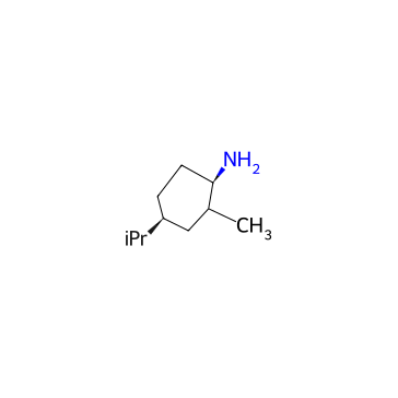 CC(C)[C@H]1CC[C@@H](N)C(C)C1